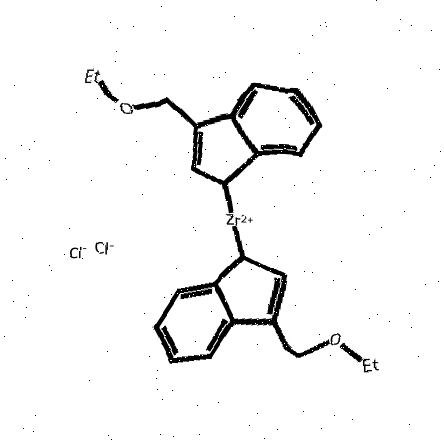 CCOCC1=C[CH]([Zr+2][CH]2C=C(COCC)c3ccccc32)c2ccccc21.[Cl-].[Cl-]